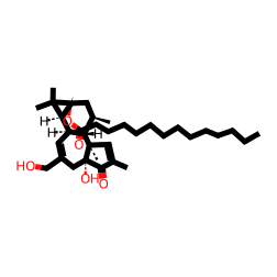 CCCCCCCCCCCCCC(=O)O[C@@]12C[C@@H](C)[C@H]3[C@@H](C=C(CO)C[C@]4(O)C(=O)C(C)=C[C@]34C)[C@H]1C2(C)C